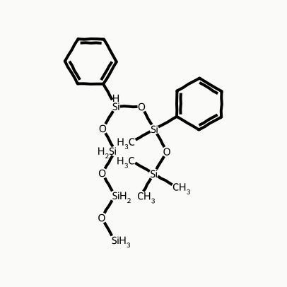 C[Si](C)(C)O[Si](C)(O[SiH](O[SiH2]O[SiH2]O[SiH3])c1ccccc1)c1ccccc1